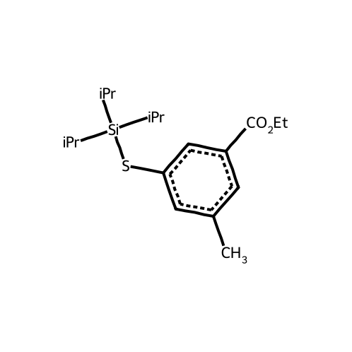 CCOC(=O)c1cc(C)cc(S[Si](C(C)C)(C(C)C)C(C)C)c1